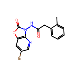 Cc1ccccc1CC(=O)Nn1c(=O)oc2cc(Br)cnc21